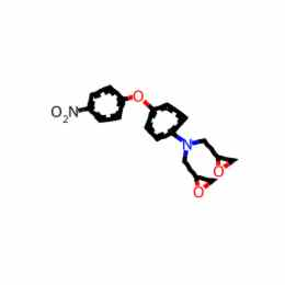 O=[N+]([O-])c1ccc(Oc2ccc(N(CC3CO3)CC3CO3)cc2)cc1